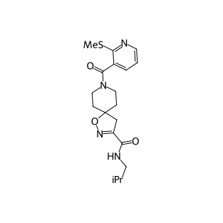 CSc1ncccc1C(=O)N1CCC2(CC1)CC(C(=O)NCC(C)C)=NO2